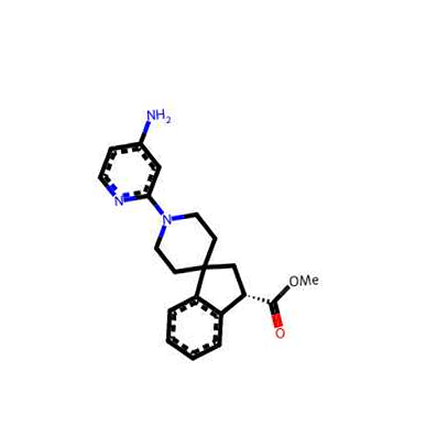 COC(=O)[C@H]1CC2(CCN(c3cc(N)ccn3)CC2)c2ccccc21